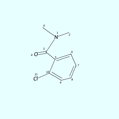 CN(C)C(=O)c1c[c]ccc1Cl